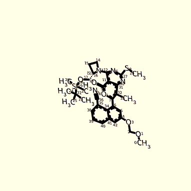 COCOc1cc(-c2oc(=O)c3c(N4CC[C@H]4CO[Si](C)(C)C(C)(C)C)nc(SC)nc3c2C)c2c(C#N)cccc2c1